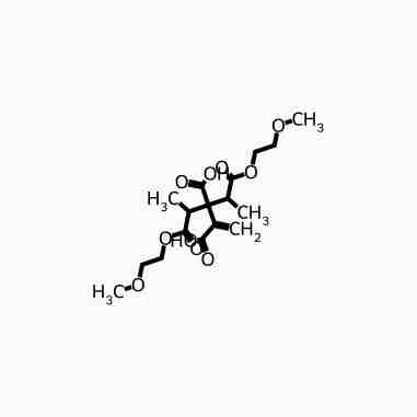 C=C(C(=O)O)C(C(=O)O)(C(C)C(=O)OCCOC)C(C)C(=O)OCCOC